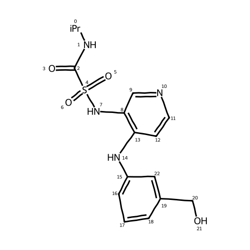 CC(C)NC(=O)S(=O)(=O)Nc1cnccc1Nc1cccc(CO)c1